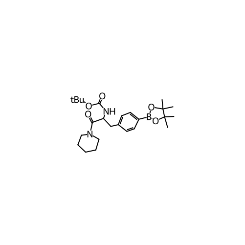 CC(C)(C)OC(=O)NC(Cc1ccc(B2OC(C)(C)C(C)(C)O2)cc1)C(=O)N1CCCCC1